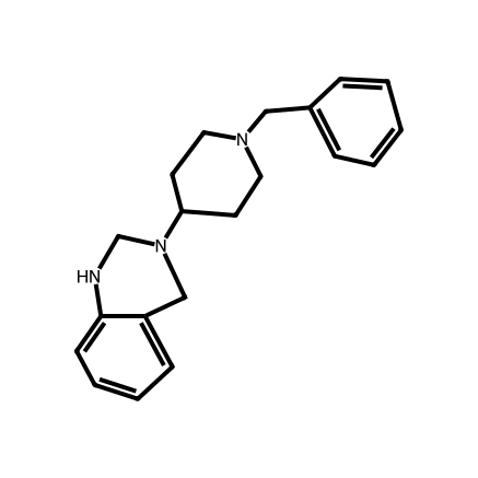 c1ccc(CN2CCC(N3CNc4ccccc4C3)CC2)cc1